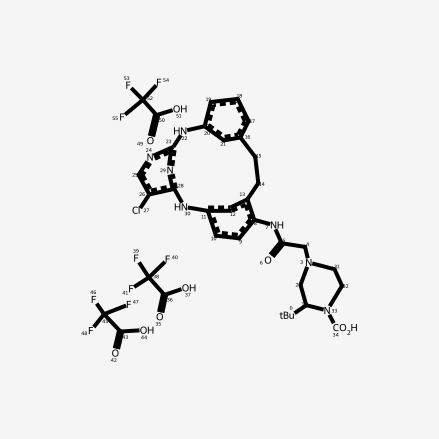 CC(C)(C)C1CN(CC(=O)Nc2ccc3cc2CCc2cccc(c2)Nc2ncc(Cl)c(n2)N3)CCN1C(=O)O.O=C(O)C(F)(F)F.O=C(O)C(F)(F)F.O=C(O)C(F)(F)F